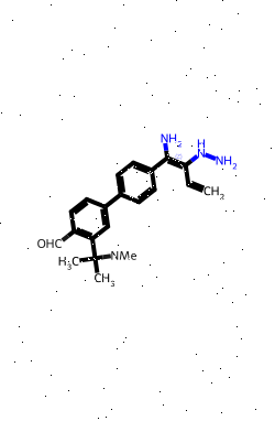 C=C/C(NN)=C(/N)c1ccc(-c2ccc(C=O)c(C(C)(C)NC)c2)cc1